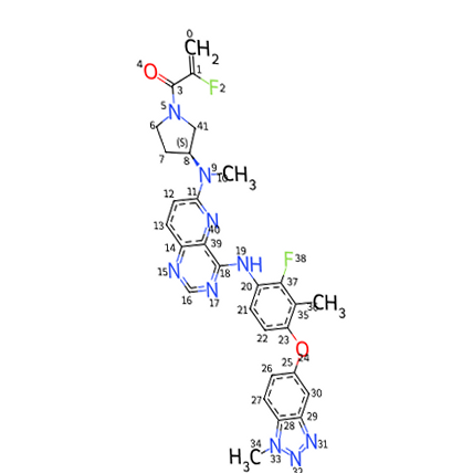 C=C(F)C(=O)N1CC[C@H](N(C)c2ccc3ncnc(Nc4ccc(Oc5ccc6c(c5)nnn6C)c(C)c4F)c3n2)C1